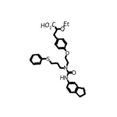 CCOC(Cc1ccc(OCCN(CCCSc2ccccc2)C(=O)Nc2ccc3c(c2)CCC3)cc1)C(=O)O